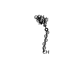 C#CCOCCOCCOCCOCCOc1ccc(C2CN(c3nc(Cl)nc4c3cnn4[C@@H]3O[C@H](CO)[C@@H](O)[C@H]3O)C2)cc1